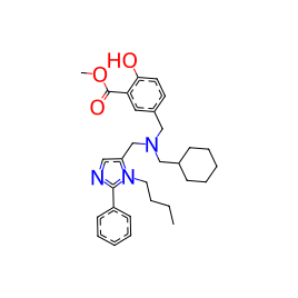 CCCCn1c(CN(Cc2ccc(O)c(C(=O)OC)c2)CC2CCCCC2)cnc1-c1ccccc1